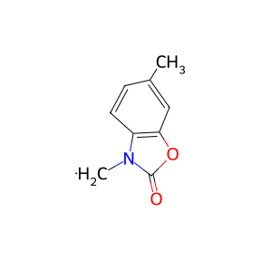 [CH2]n1c(=O)oc2cc(C)ccc21